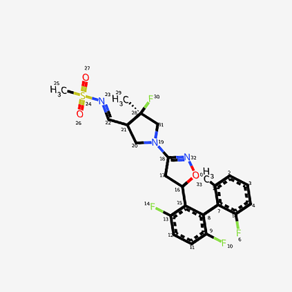 Cc1cccc(F)c1-c1c(F)ccc(F)c1C1CC(N2CC(/C=N/S(C)(=O)=O)[C@@](C)(F)C2)=NO1